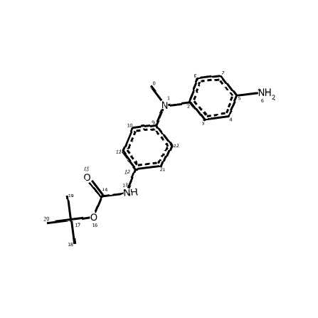 CN(c1ccc(N)cc1)c1ccc(NC(=O)OC(C)(C)C)cc1